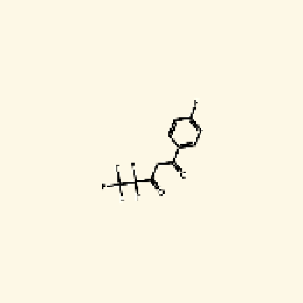 O=C(CC(=O)C(F)(F)C(F)(F)F)c1ccc(F)cc1